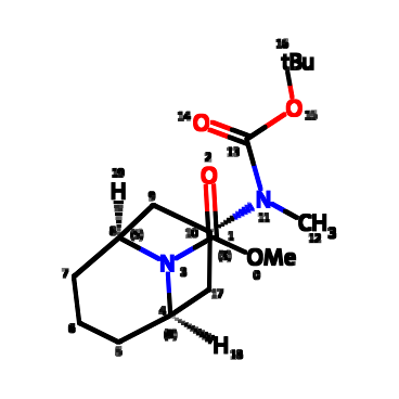 COC(=O)N1[C@@H]2CCC[C@H]1C[C@H](N(C)C(=O)OC(C)(C)C)C2